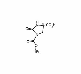 CC(C)(C)OC(=O)N1C[C@@H](C(=O)O)NC1=O